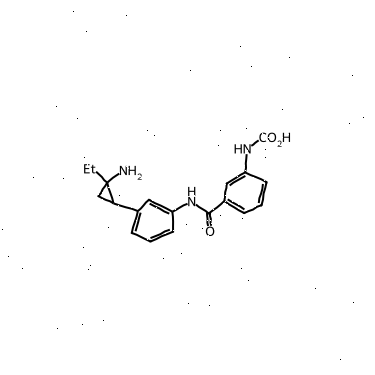 CCC1(N)CC1c1cccc(NC(=O)c2cccc(NC(=O)O)c2)c1